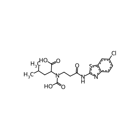 CC(C)CC(C(=O)O)N(CCC(=O)Nc1nc2ccc(Cl)cc2s1)C(=O)O